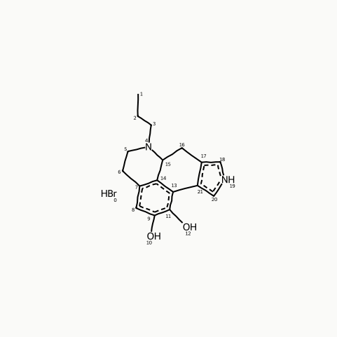 Br.CCCN1CCc2cc(O)c(O)c3c2C1Cc1c[nH]cc1-3